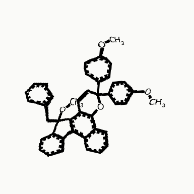 COc1ccc(C2(c3ccc(OC)cc3)C=Cc3c4c(c5ccccc5c3O2)-c2ccccc2C4(Cc2ccccc2)OC)cc1